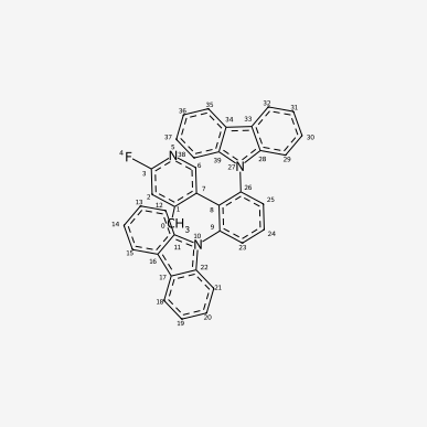 Cc1cc(F)ncc1-c1c(-n2c3ccccc3c3ccccc32)cccc1-n1c2ccccc2c2ccccc21